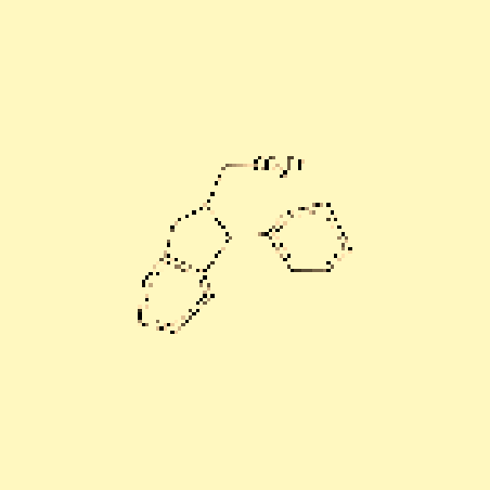 CCOC(=O)CC1Cc2ccccc2C1c1ccccc1